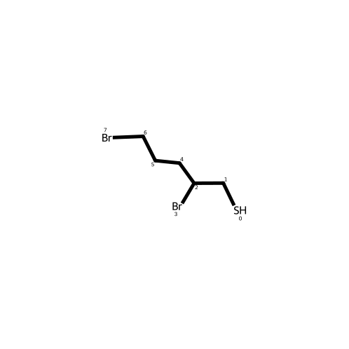 SCC(Br)CCCBr